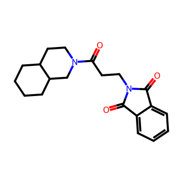 O=C(CCN1C(=O)c2ccccc2C1=O)N1CCC2CCCCC2C1